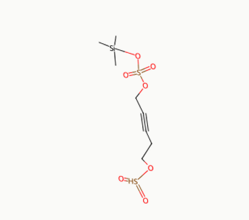 C[Si](C)(C)OS(=O)(=O)OCC#CCCO[SH](=O)=O